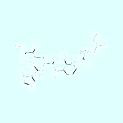 CCC(CC)CNC(=O)Cn1cccc(NC(=O)[C@H](CCC(=O)C(=O)OC)NC(=O)c2cncn2C)c1=O